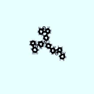 c1ccc(-c2cccc3c2oc2ccc(-c4ccc(N(c5ccc(-c6cccc7oc8ccccc8c67)cc5)c5ccc(-n6c7ccccc7c7ccccc76)cc5)cc4)cc23)cc1